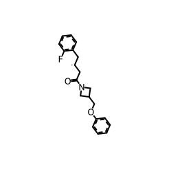 O=C(C[CH]Cc1ccccc1F)N1CC(COc2ccccc2)C1